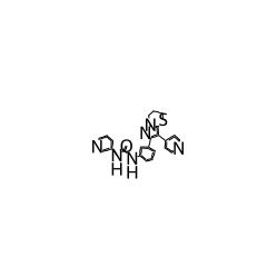 O=C(Nc1cccnc1)Nc1cccc(-c2nn3c(c2-c2ccncc2)SCCC3)c1